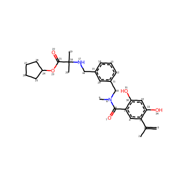 C=C(C)c1cc(C(=O)N(C)Cc2cccc(CNC(C)(C)C(=O)OC3CCCC3)c2)c(O)cc1O